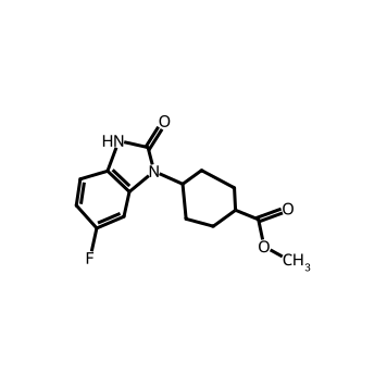 COC(=O)C1CCC(n2c(=O)[nH]c3ccc(F)cc32)CC1